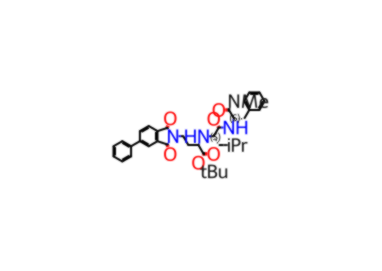 CNC(=O)[C@H](Cc1ccccc1)NC(=O)[C@H](CC(C)C)NC(CCN1C(=O)c2ccc(-c3ccccc3)cc2C1=O)C(=O)OC(C)(C)C